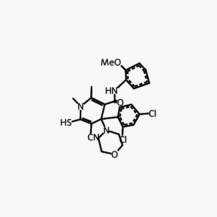 COc1ccccc1NC(=O)C1=C(C)N(C)C(S)=C(C#N)C1(c1ccc(Cl)cc1Cl)N1CCOCC1